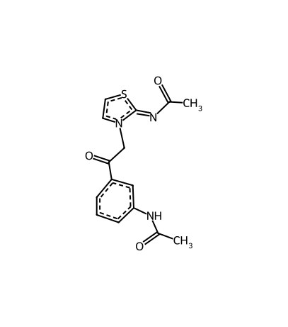 CC(=O)N=c1sccn1CC(=O)c1cccc(NC(C)=O)c1